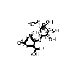 O=C(O)c1cc(Cl)cc(Cl)c1OC1O[C@H](CO)[C@@H](O)[C@H](O)[C@H]1O